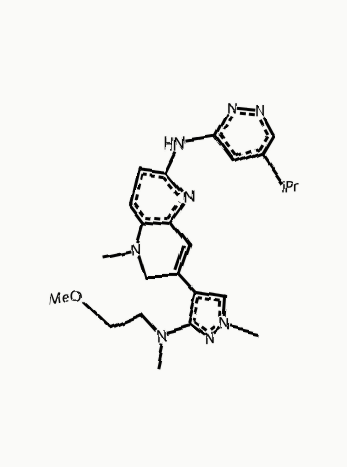 COCCN(C)c1nn(C)cc1C1=Cc2nc(Nc3cc(C(C)C)cnn3)ccc2N(C)C1